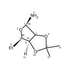 CC[C@H]1O[C@@H](N)C2OC(C)(C)O[C@H]21